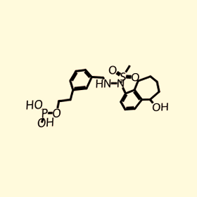 CS(=O)(=O)N(NCc1cccc(CCOP(O)O)c1)c1cccc2c1CCCCC2O